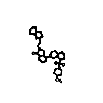 CN1CCN(S(=O)(=O)c2cccc3c2CN(c2cccc4c2CN(CCc2ccc5ccccc5n2)C4=O)CC3)CC1